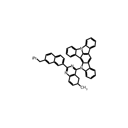 CC(C)Cc1ccc2ccc(-c3nc4c(c(-n5c6ccccc6c6cc7c8ccccc8n8c9ccccc9c(c65)c78)n3)CC(C)C=C4)cc2c1